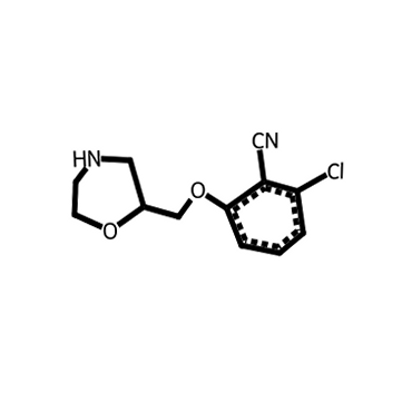 N#Cc1c(Cl)cccc1OCC1CNCCO1